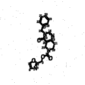 O=C(OCc1ncco1)N1CCc2ncn(Cc3ccccc3)c(=O)c2C1